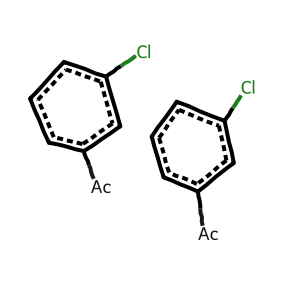 CC(=O)c1cccc(Cl)c1.CC(=O)c1cccc(Cl)c1